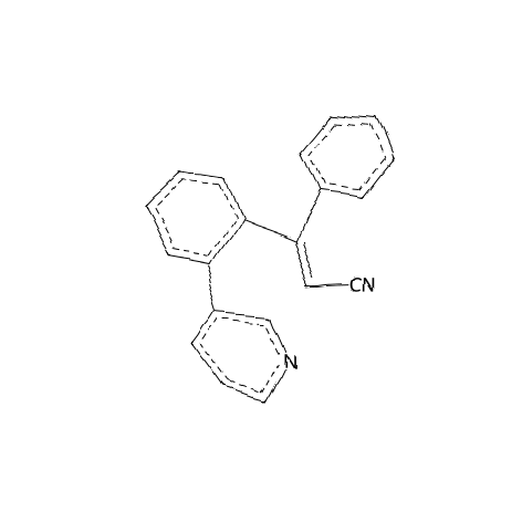 N#CC=C(c1ccccc1)c1ccccc1-c1cccnc1